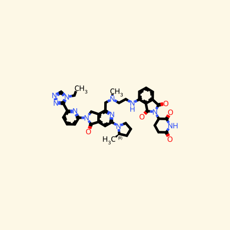 CCn1cnnc1-c1cccc(N2Cc3c(cc(N4CCC[C@H]4C)nc3CN(C)CCNc3cccc4c3C(=O)N(C3CCC(=O)NC3=O)C4=O)C2=O)n1